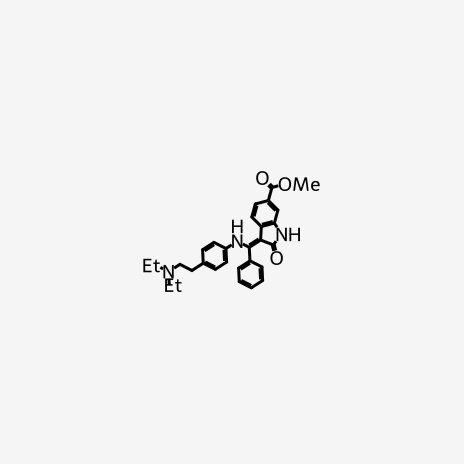 CCN(CC)CCc1ccc(NC(=C2C(=O)Nc3cc(C(=O)OC)ccc32)c2ccccc2)cc1